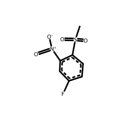 CS(=O)(=O)c1ccc(F)cc1[N+](=O)[O-]